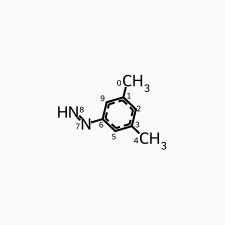 Cc1cc(C)cc(N=N)c1